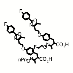 CC(=NOCCF)C(Cc1ccc(OCCc2nc(-c3ccc(F)cc3)oc2C)cc1)C(=O)O.CCCON=C(C)C(Cc1ccc(OCCc2nc(-c3ccc(F)cc3)oc2C)cc1)C(=O)O